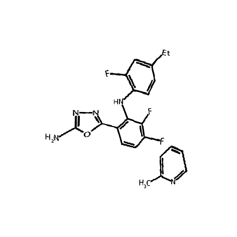 CCc1ccc(Nc2c(-c3nnc(N)o3)ccc(F)c2F)c(F)c1.Cc1ccccn1